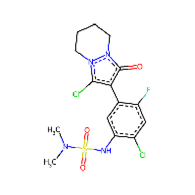 CN(C)S(=O)(=O)Nc1cc(-c2c(Cl)n3n(c2=O)CCCC3)c(F)cc1Cl